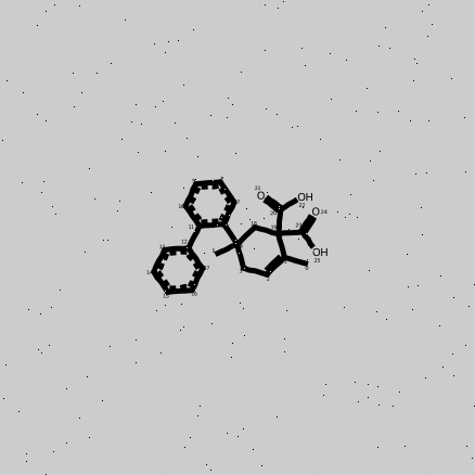 CC1=CCC(C)(c2ccccc2-c2ccccc2)CC1(C(=O)O)C(=O)O